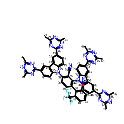 Cc1nc(C)nc(-c2ccc3c(c2)c2cc(-c4nc(C)nc(C)n4)ccc2n3-c2ccc(-c3c(C#N)cccc3C(F)(F)F)c(-n3c4ccc(-c5nc(C)nc(C)n5)cc4c4cc(-c5nc(C)nc(C)n5)ccc43)c2C#N)n1